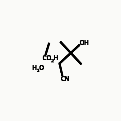 CC(=O)O.CC(C)(O)CC#N.O